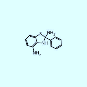 Nc1cccc2c1NC(N)(c1ccccc1)S2